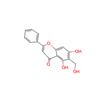 O=c1cc(-c2ccccc2)oc2cc(O)c(CO)c(O)c12